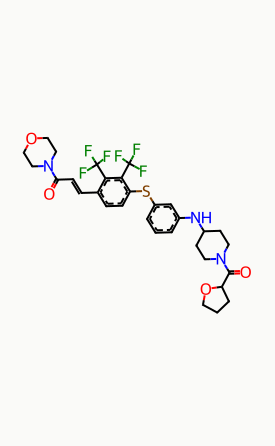 O=C(/C=C/c1ccc(Sc2cccc(NC3CCN(C(=O)C4CCCO4)CC3)c2)c(C(F)(F)F)c1C(F)(F)F)N1CCOCC1